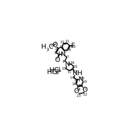 COc1cc(=O)n(CCN2CCC(NCc3cc4c(cn3)OCCO4)CC2)c2cc(F)ccc12.Cl.Cl